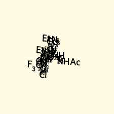 CCOc1ncccc1-c1ccc(N2C[C@H]3CN(c4ccc(Cl)cc4C(F)(F)F)C(=O)N3C[C@H]2CC)c(C(=O)NCCNC(C)=O)n1